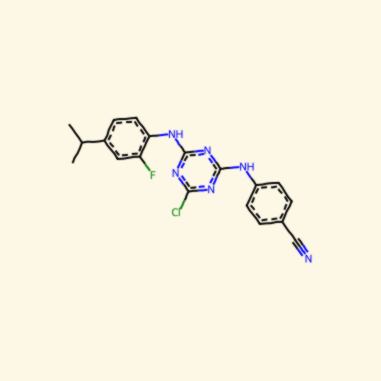 CC(C)c1ccc(Nc2nc(Cl)nc(Nc3ccc(C#N)cc3)n2)c(F)c1